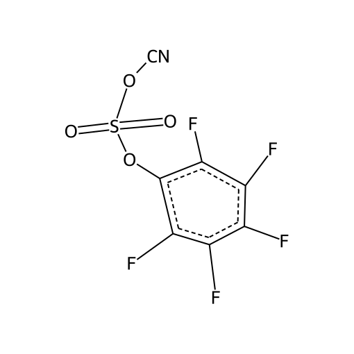 N#COS(=O)(=O)Oc1c(F)c(F)c(F)c(F)c1F